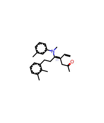 C=C/C(CC(C)=O)=C(/CCc1cccc(C)c1C)N(C)c1cccc(C)c1